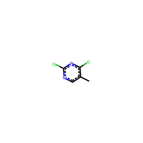 [CH2]c1cnc(Cl)nc1Cl